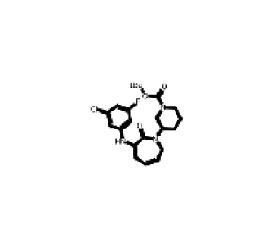 CC(C)(C)OC(=O)N1CCCC(N2CC=CCC(Nc3cc(F)cc(Cl)c3)C2=O)C1